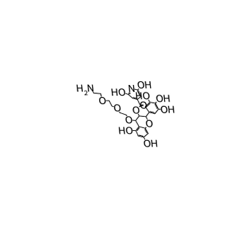 NCCOCCOCCOC1c2c(O)cc(O)cc2OC(c2cc(O)c(O)c(O)c2)C1OC(=O)c1cc(O)nc(O)c1